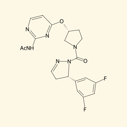 CC(=O)Nc1nccc(O[C@@H]2CCN(C(=O)N3N=CC[C@H]3c3cc(F)cc(F)c3)C2)n1